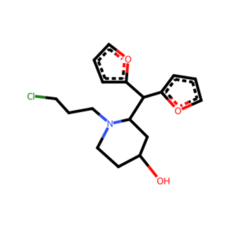 OC1CCN(CCCCl)C(C(c2ccco2)c2ccco2)C1